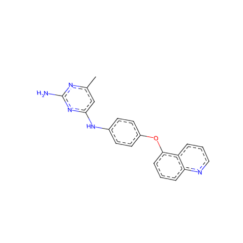 Cc1cc(Nc2ccc(Oc3cccc4ncccc34)cc2)nc(N)n1